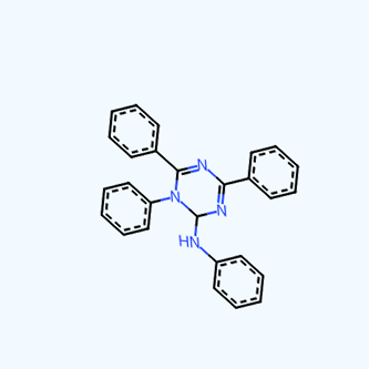 c1ccc(NC2N=C(c3ccccc3)N=C(c3ccccc3)N2c2ccccc2)cc1